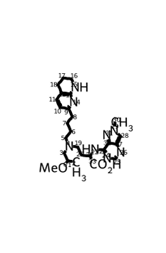 COC(C)CN(CCCCc1ccc2c(n1)NCCC2)CCC(Nc1ncnc2cn(C)nc12)C(=O)O